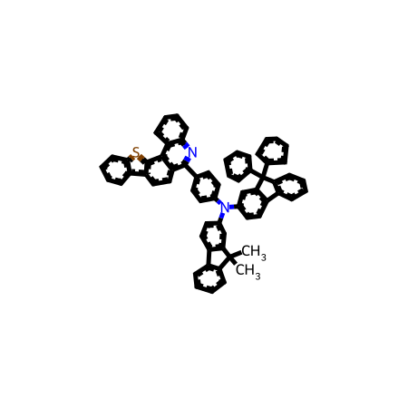 CC1(C)c2ccccc2-c2ccc(N(c3ccc(-c4nc5ccccc5c5c4ccc4c6ccccc6sc45)cc3)c3ccc4c(c3)C(c3ccccc3)(c3ccccc3)c3ccccc3-4)cc21